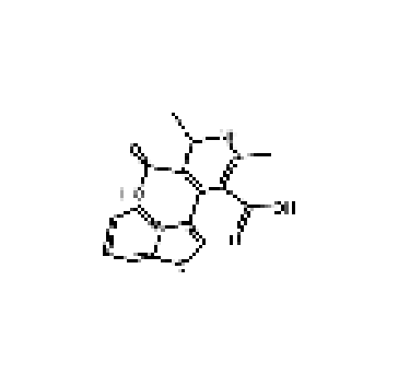 CC1=C(C(=O)O)C(c2csc3ccccc23)=C(C(=O)O)C(C)N1